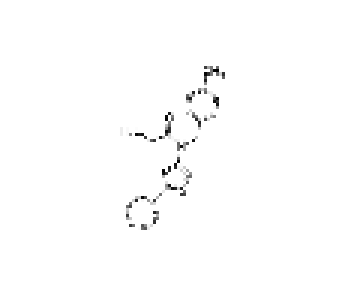 CCC(=O)N(Cc1ccc(C)cc1)c1csc(-c2ccccc2)c1